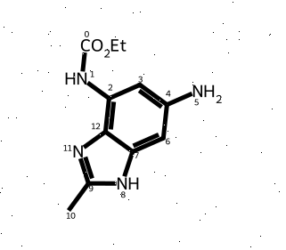 CCOC(=O)Nc1cc(N)cc2[nH]c(C)nc12